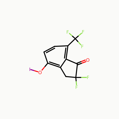 O=C1c2c(C(F)(F)F)ccc(OI)c2CC1(F)F